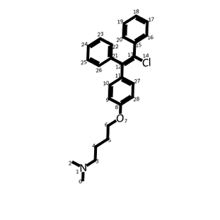 CN(C)CCCCOc1ccc(/C(=C(\Cl)c2ccccc2)c2ccccc2)cc1